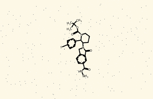 CC(C)(C)OC(=O)N1CCCC(N2Cc3ccc(C(=O)NN)cc3C2=O)C1c1ccc(F)cc1